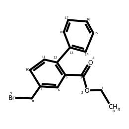 CCOC(=O)c1cc(CBr)ccc1-c1ccccc1